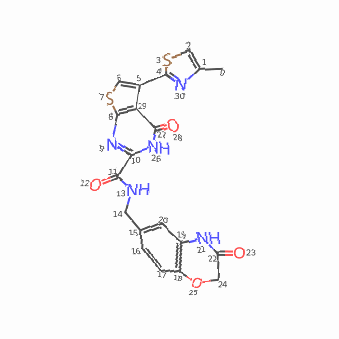 Cc1csc(-c2csc3nc(C(=O)NCc4ccc5c(c4)NC(=O)CO5)[nH]c(=O)c23)n1